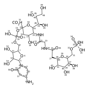 Nc1ccn(C2OC(COP(=O)(O)OC3(C(=O)O)CC(O)C(NC(=O)CNC(=O)C[C@H]4OC(COP(=O)(O)O)[C@@H](O)[C@H](O)C4O)C([C@H](O)[C@H](O)CO)O3)C(O)C2O)c(=O)c1